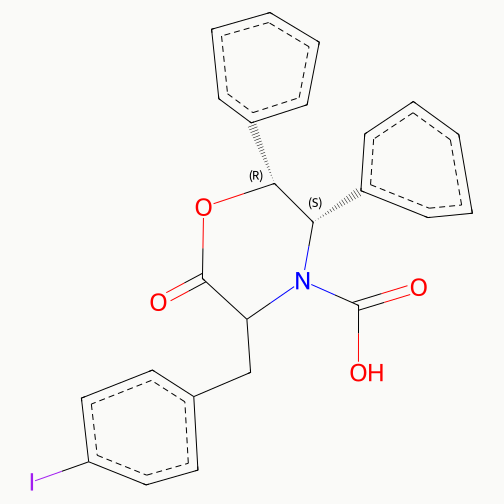 O=C1O[C@H](c2ccccc2)[C@H](c2ccccc2)N(C(=O)O)C1Cc1ccc(I)cc1